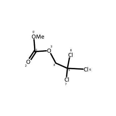 COC(=O)OCC(Cl)(Cl)Cl